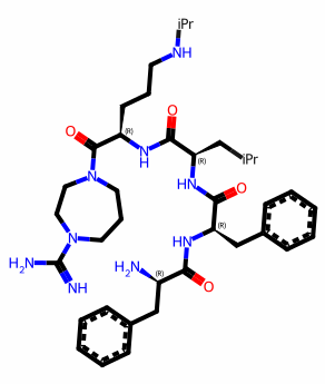 CC(C)C[C@@H](NC(=O)[C@@H](Cc1ccccc1)NC(=O)[C@H](N)Cc1ccccc1)C(=O)N[C@H](CCCNC(C)C)C(=O)N1CCCN(C(=N)N)CC1